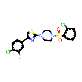 O=S(=O)(c1ccccc1Cl)N1CCN(c2nc(-c3ccc(Cl)c(Cl)c3)cs2)CC1